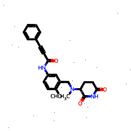 CN(Cc1cc(NC(=O)C#Cc2ccccc2)ccc1C=O)C1CCC(=O)NC1=O